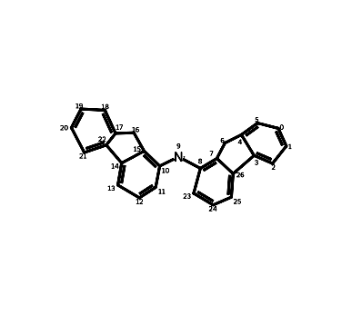 c1ccc2c(c1)Cc1c([N]c3cccc4c3Cc3ccccc3-4)cccc1-2